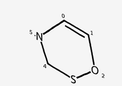 C1=COSC[N]1